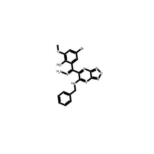 COc1cc(Br)cc(/C(=N\N)c2nc3nonc3nc2NCc2ccccc2)c1O